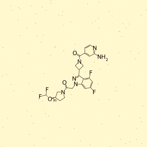 Nc1cc(C(=O)N2CC(c3nn(CC(=O)N4CC[C@@H](OC(F)F)C4)c4cc(F)cc(F)c34)C2)ccn1